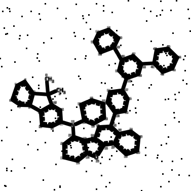 CC1(C)c2ccccc2-c2ccc(N(c3ccccc3)c3cccc4oc5c6ccccc6c(-c6ccc(-c7cc(-c8ccccc8)cc(-c8ccccc8)c7)cc6)cc5c34)cc21